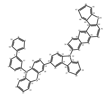 c1ccc(-c2cccc(N3c4ccccc4Sc4cc(-c5ccc6c(c5)c5ccccc5n6-c5ccc6cc7c(ccc8sc9ccccc9c87)cc6c5)ccc43)c2)cc1